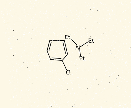 C[CH2][Al]([CH2]C)[CH2]C.Clc1ccccc1